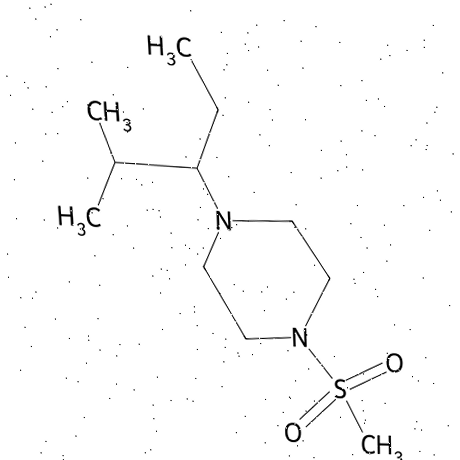 CCC(C(C)C)N1CCN(S(C)(=O)=O)CC1